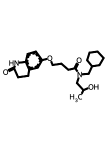 CC(O)CN(CC1CCCCC1)C(=O)CCCOc1ccc2c(c1)CCC(=O)N2